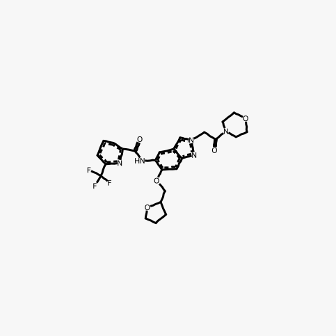 O=C(Nc1cc2cn(CC(=O)N3CCOCC3)nc2cc1OCC1CCCO1)c1cccc(C(F)(F)F)n1